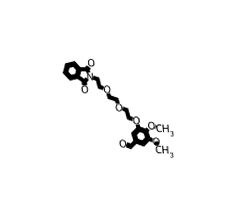 COc1cc(C=O)cc(OCCOCCOCCN2C(=O)c3ccccc3C2=O)c1OC